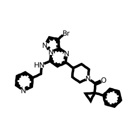 O=C(N1CCC(c2cc(NCc3cccnc3)n3ncc(Br)c3n2)CC1)C1(c2ccccc2)CC1